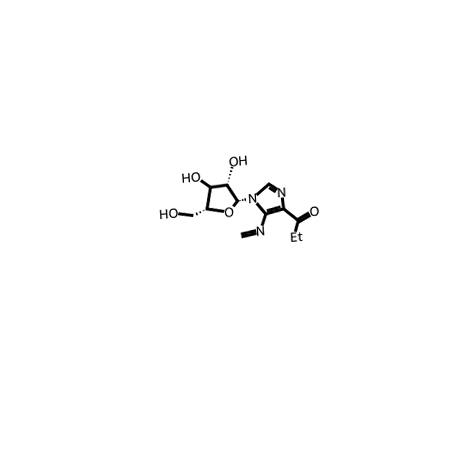 C=Nc1c(C(=O)CC)ncn1[C@@H]1O[C@H](CO)C(O)[C@@H]1O